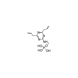 C=CCc1nc(N)nc(CC=C)n1.O=P(O)(O)O